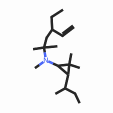 C=CC(CC)CC(C)(C)N(C)C1C(C(C)CC)C1(C)C